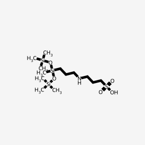 C[Si](C)(C)O[Si](C)(CCCNCCCS(=O)(=O)O)O[Si](C)(C)C